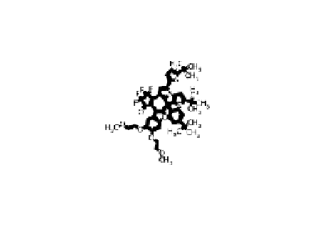 COCCOc1cc2oc3c(c2cc1OCCOC)C1=C(c2cc(-c4ccc(C(C)(C)C)s4)sc2C3(c2ccc(C(C)(C)C)cc2)c2ccc(C(C)(C)C)s2)C(F)(F)C(F)(F)C1=O